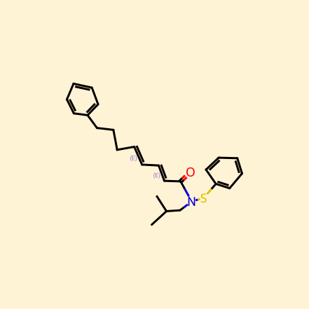 CC(C)CN(Sc1ccccc1)C(=O)/C=C/C=C/CCCc1ccccc1